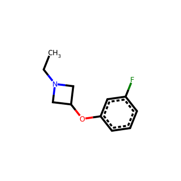 CCN1CC(Oc2cccc(F)c2)C1